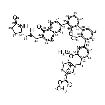 COC(=O)C12CCC(CC1)N(Cc1ccc(-c3cccc(-c4cccc(-c5ccn6c(=O)c(CNC[C@@H]7CCC(=O)N7)cnc6c5)c4Cl)c3Cl)nc1OC)C2